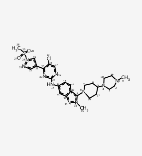 CN1CCN(C2CCN(c3c4ccc(Nc5ncc(Cl)c(-c6cnn(S(C)(=O)=O)c6)n5)cc4nn3C)CC2)CC1